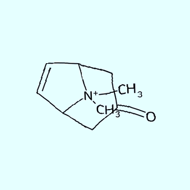 C[N+]1(C)C2C=CC1CC(=O)C2